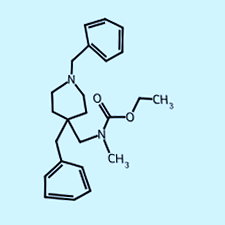 CCOC(=O)N(C)CC1(Cc2ccccc2)CCN(Cc2ccccc2)CC1